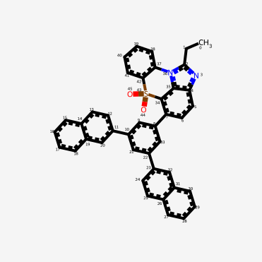 CCc1nc2ccc(-c3cc(-c4ccc5ccccc5c4)cc(-c4ccc5ccccc5c4)c3)c3c2n1-c1ccccc1S3(=O)=O